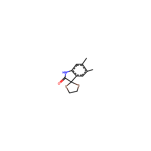 Cc1cc2c(cc1C)C1(SCCS1)C(=O)N2